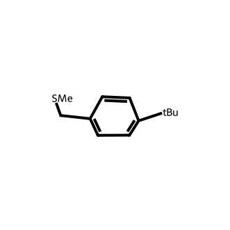 CSCc1ccc(C(C)(C)C)cc1